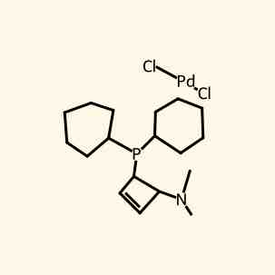 CN(C)C1C=CC1P(C1CCCCC1)C1CCCCC1.[Cl][Pd][Cl]